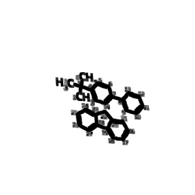 CC(C)(C)c1ccc(-c2ccccc2)cc1.c1ccc2c(c1)Cc1ccccc1-2